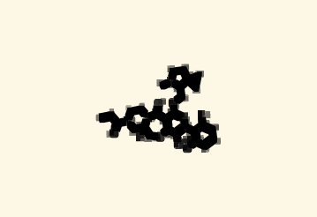 C=CC(=O)N1CCN2C(=O)c3c(OCC4N(C)CCC45CC5)nc(-c4c(O)cccc4F)c(Cl)c3OC[C@H]2C1